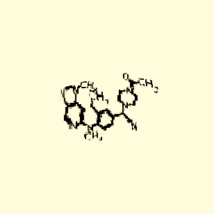 CCc1cc(C(C#N)N2CCN(C(C)=O)CC2)ccc1N(C)c1cc2c(cn1)ncn2C